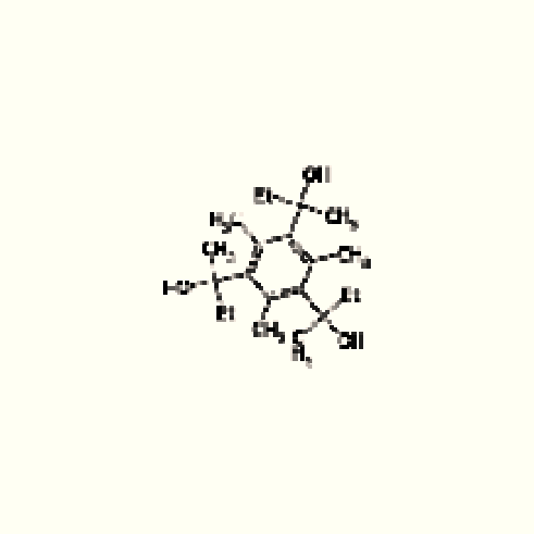 CCC(C)(O)c1c(C)c(C(C)(O)CC)c(C)c(C(C)(O)CC)c1C